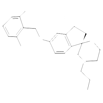 CCc1cccc(Cl)c1COc1ccc2c(c1)CC[C@@]21CN(CCC(=O)O)CCO1.Cl